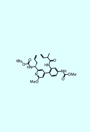 C=CC[C@H](NC(=O)OC(C)(C)C)c1cc(-c2ccc(NC(=O)OC)cc2NC(=O)C(C)C=C)cc(OC)n1